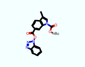 CCCCOC(=O)n1cc(C)c2ccc(C(=O)On3nnc4ccccc43)cc21